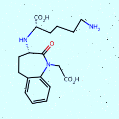 NCCCC[C@H](N[C@H]1CCc2ccccc2N(CC(=O)O)C1=O)C(=O)O